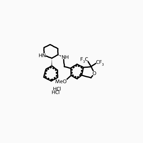 COc1cc2c(cc1CN[C@H]1CCCN[C@H]1c1ccccc1)C(C(F)(F)F)(C(F)(F)F)OC2.Cl.Cl